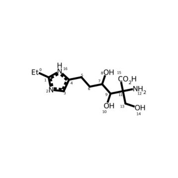 CCc1ncc(CCC(O)C(O)C(N)(CO)C(=O)O)[nH]1